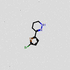 Brc1ccc(C2=NNCCC2)s1